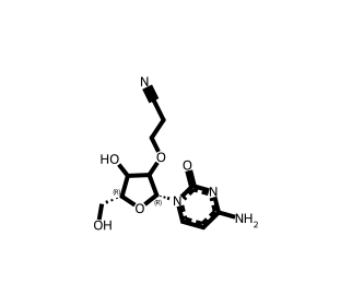 N#CCCOC1C(O)[C@@H](CO)O[C@H]1n1ccc(N)nc1=O